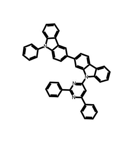 c1ccc(-c2cc(-n3c4ccccc4c4ccc(-c5ccc6c(c5)c5ccccc5n6-c5ccccc5)cc43)nc(-c3ccccc3)n2)cc1